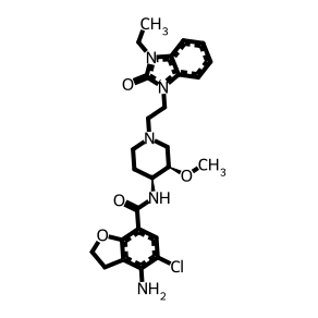 CCn1c(=O)n(CCN2CC[C@H](NC(=O)c3cc(Cl)c(N)c4c3OCC4)[C@H](OC)C2)c2ccccc21